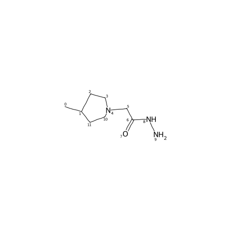 CC1CCN(CC(=O)NN)CC1